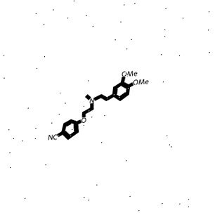 COc1ccc(CCN(C)CCOc2ccc(C#N)cc2)cc1OC